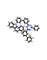 c1ccc(-c2nc(-c3cccc(-c4cccc(-n5c6ccccc6c6ccc7ccccc7c65)c4)c3)nc(-c3cccc4c3sc3ccccc34)n2)cc1